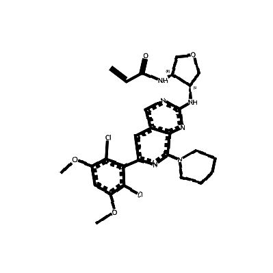 C=CC(=O)N[C@H]1COC[C@H]1Nc1ncc2cc(-c3c(Cl)c(OC)cc(OC)c3Cl)nc(N3CCCCC3)c2n1